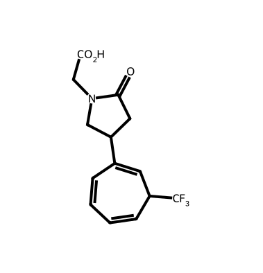 O=C(O)CN1CC(C2=CC(C(F)(F)F)C=CC=C2)CC1=O